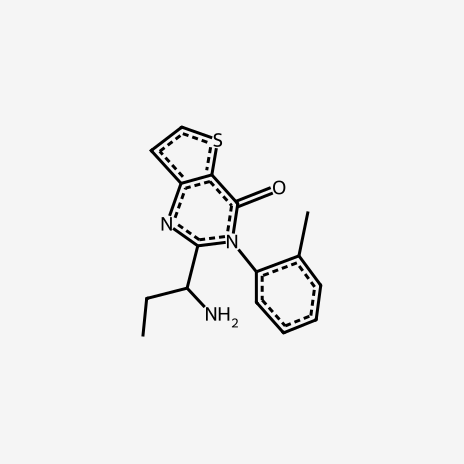 CCC(N)c1nc2ccsc2c(=O)n1-c1ccccc1C